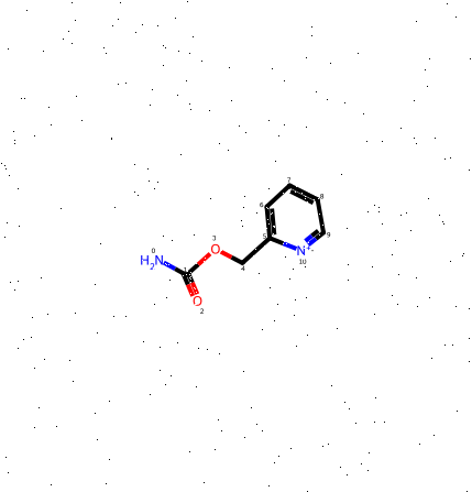 NC(=O)OCC1=C[C]=CC=[N+]1